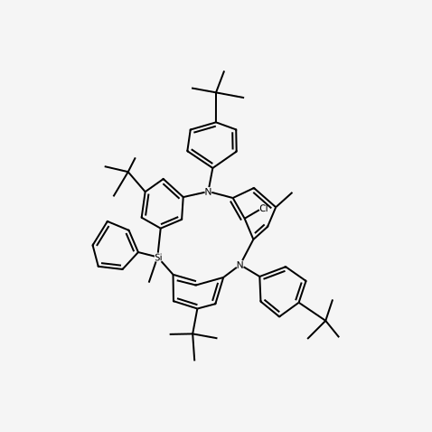 Cc1cc2c(Cl)c(c1)N(c1ccc(C(C)(C)C)cc1)c1cc(C(C)(C)C)cc(c1)[Si](C)(c1ccccc1)c1cc(cc(C(C)(C)C)c1)N2c1ccc(C(C)(C)C)cc1